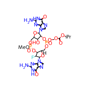 COP1(=O)OCC2OC(n3cnc4c(=O)[nH]c(N)nc43)C(OP(=O)(OCOC(=O)OC(C)C)OC[C@H]3OC(n4cnc5c(=O)[nH]c(N)nc54)C(F)C3O1)C2O